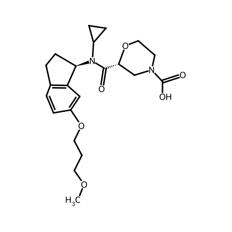 COCCCOc1ccc2c(c1)[C@H](N(C(=O)[C@H]1CN(C(=O)O)CCO1)C1CC1)CC2